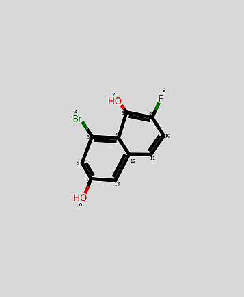 Oc1cc(Br)c2c(O)c(F)ccc2c1